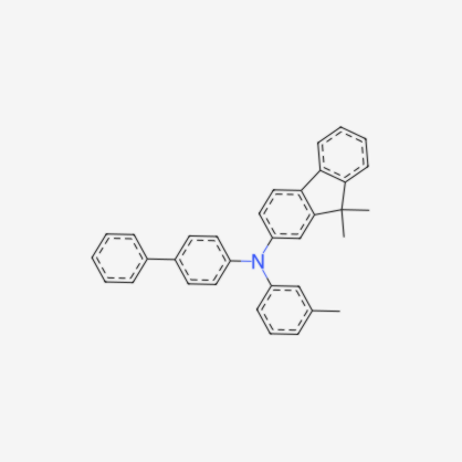 Cc1cccc(N(c2ccc(-c3ccccc3)cc2)c2ccc3c(c2)C(C)(C)c2ccccc2-3)c1